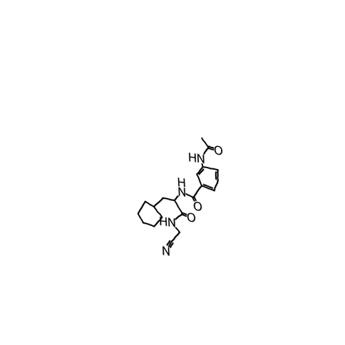 CC(=O)Nc1cccc(C(=O)NC(CC2CCCCC2)C(=O)NCC#N)c1